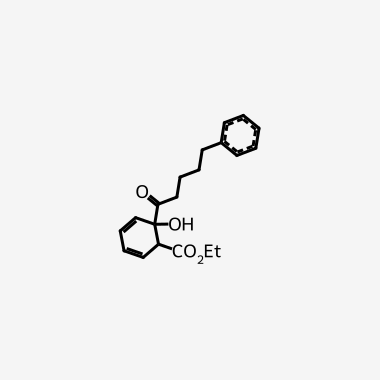 CCOC(=O)C1C=CC=CC1(O)C(=O)CCCCc1ccccc1